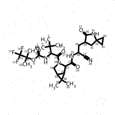 CC(C)(C)C(NC(=O)OC(C)(C)C(F)(F)F)C(=O)N1CC2C(C1C(=O)NC(C#N)CC1CC3(CC3)NC1=O)C2(C)C